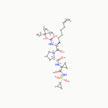 C=CCCCCC[C@H](NC(=O)OC(C)(C)C)C(=O)N1CCC[C@H]1C(=O)NC1(C(=O)NS(=O)(=O)C2CC2)CC1